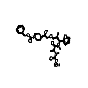 CC(C(=O)N(C)[C@H](c1ccco1)[C@H](C)COCC(=O)N1CCN(C(=O)OCc2ccccc2)CC1)N(C)C(=O)OC(C)(C)C